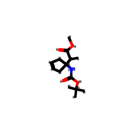 COC(=O)C(C)C1(NC(=O)OC(C)(C)C)CC=CC1